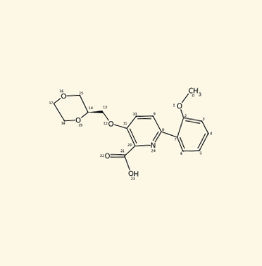 COc1ccccc1-c1ccc(OC[C@@H]2COCCO2)c(C(=O)O)n1